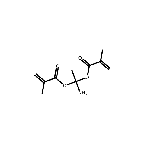 C=C(C)C(=O)OC(C)(N)OC(=O)C(=C)C